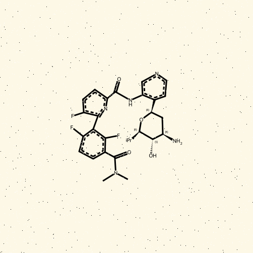 CC(C)[C@H]1O[C@@H](c2ccncc2NC(=O)c2ccc(F)c(-c3c(F)ccc(C(=O)N(C)C)c3F)n2)C[C@@H](N)[C@@H]1O